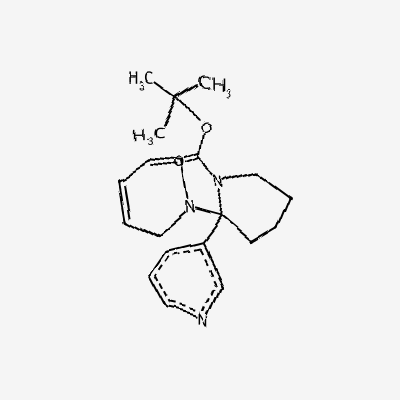 CC(C)(C)OC(=O)N1CCCCC1(c1cccnc1)N1C=CC=CC1